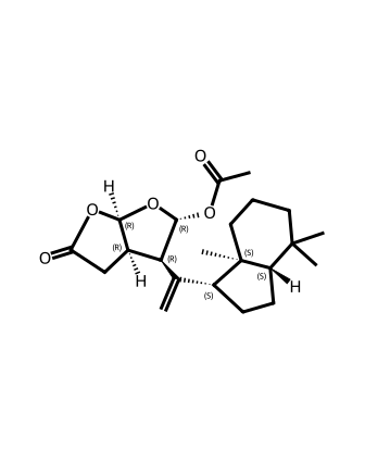 C=C([C@@H]1[C@@H](OC(C)=O)O[C@@H]2OC(=O)C[C@@H]21)[C@H]1CC[C@H]2C(C)(C)CCC[C@]12C